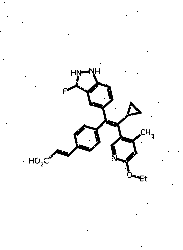 CCOc1cc(C)c(/C(=C(\c2ccc(/C=C/C(=O)O)cc2)c2ccc3c(c2)C(F)NN3)C2CC2)cn1